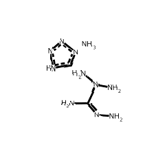 N.NN=C(N)N(N)N.c1nnn[nH]1